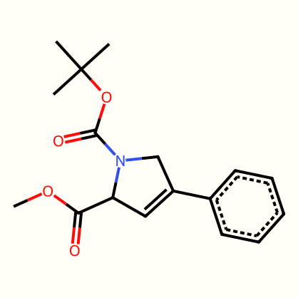 COC(=O)C1C=C(c2ccccc2)CN1C(=O)OC(C)(C)C